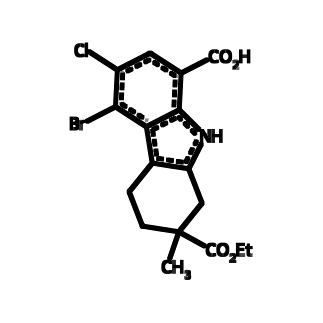 CCOC(=O)C1(C)CCc2c([nH]c3c(C(=O)O)cc(Cl)c(Br)c23)C1